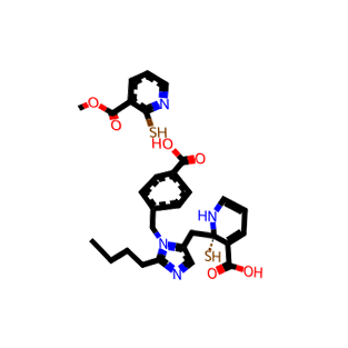 CCCCc1ncc(C[C@@]2(S)NC=CC=C2C(=O)O)n1Cc1ccc(C(=O)O)cc1.COC(=O)c1cccnc1S